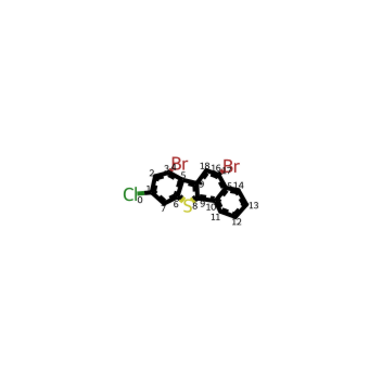 Clc1cc(Br)c2c(c1)sc1c3ccccc3c(Br)cc12